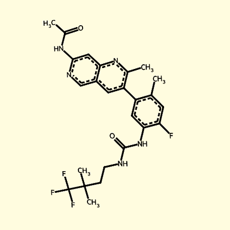 CC(=O)Nc1cc2nc(C)c(-c3cc(NC(=O)NCCC(C)(C)C(F)(F)F)c(F)cc3C)cc2cn1